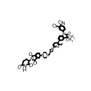 CC1(C)C(=O)N(c2ccc(C#N)c(Cl)c2)c2ccc(-c3ccc(N4CC(CN5CCN(c6ccc7c(c6)C(=O)N(C6CCC(=O)NC6=O)C7=O)CC5)C4)nc3F)cc21